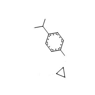 CC(Cl)c1ccc(O[C@@H]2C[C@@H]2C(=O)O)cc1